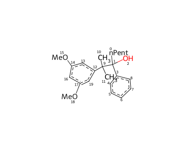 CCCCCC(O)(c1ccccc1)C(C)(C)c1cc(OC)cc(OC)c1